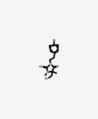 CC(C)CC1(C)C(=O)N(CCc2ccc(Br)cc2)C(=N)N1C